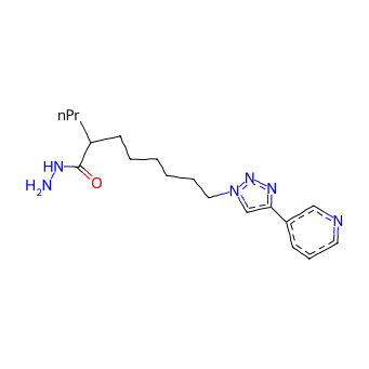 CCCC(CCCCCCn1cc(-c2cccnc2)nn1)C(=O)NN